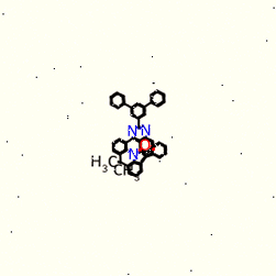 CC1(C)c2cccc(-c3nc(-c4cc(-c5ccccc5)cc(-c5ccccc5)c4)nc4ccccc34)c2-n2c3oc4ccccc4c3c3cccc1c32